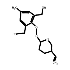 C=CC1CCC(OOc2c(CO)cc(C)cc2CO)OC1